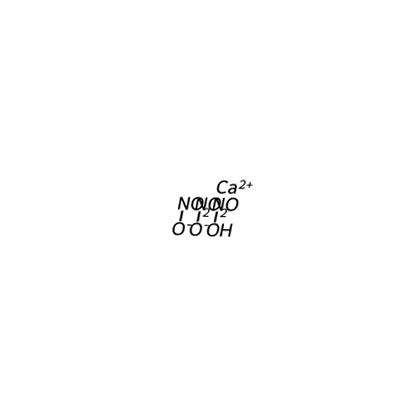 O=NO.O=[N+]([O-])[O-].O=[N+]([O-])[O-].[Ca+2]